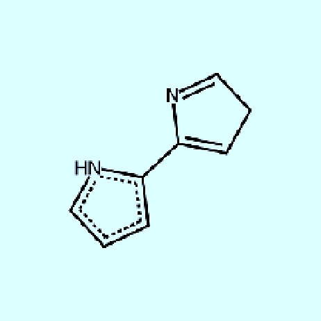 C1=NC(c2ccc[nH]2)=CC1